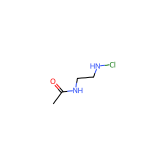 CC(=O)NCCNCl